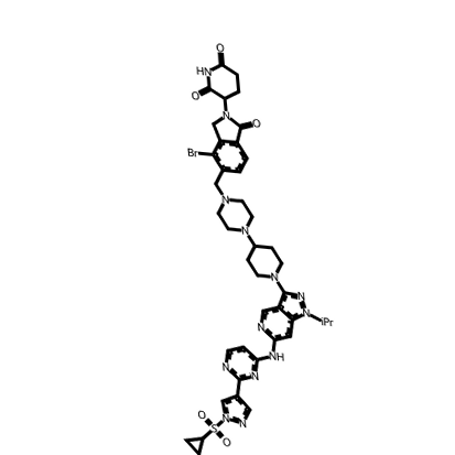 CC(C)n1nc(N2CCC(N3CCN(Cc4ccc5c(c4Br)CN(C4CCC(=O)NC4=O)C5=O)CC3)CC2)c2cnc(Nc3ccnc(-c4cnn(S(=O)(=O)C5CC5)c4)n3)cc21